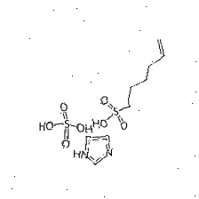 C=CCCCCS(=O)(=O)O.O=S(=O)(O)O.c1c[nH]cn1